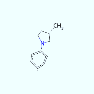 C[C@H]1CCN(c2cc[c]cc2)C1